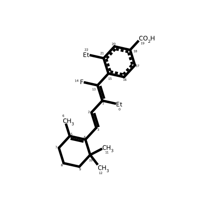 CCC(/C=C/C1=C(C)CCCC1(C)C)=C(/F)c1ccc(C(=O)O)cc1CC